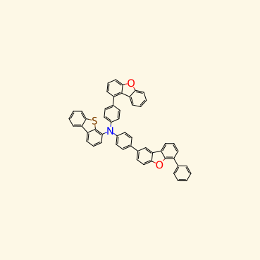 c1ccc(-c2cccc3c2oc2ccc(-c4ccc(N(c5ccc(-c6cccc7oc8ccccc8c67)cc5)c5cccc6c5sc5ccccc56)cc4)cc23)cc1